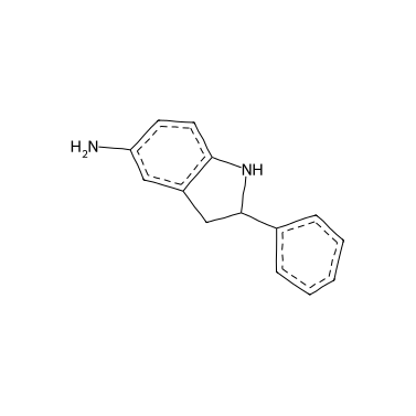 Nc1ccc2c(c1)CC(c1ccccc1)N2